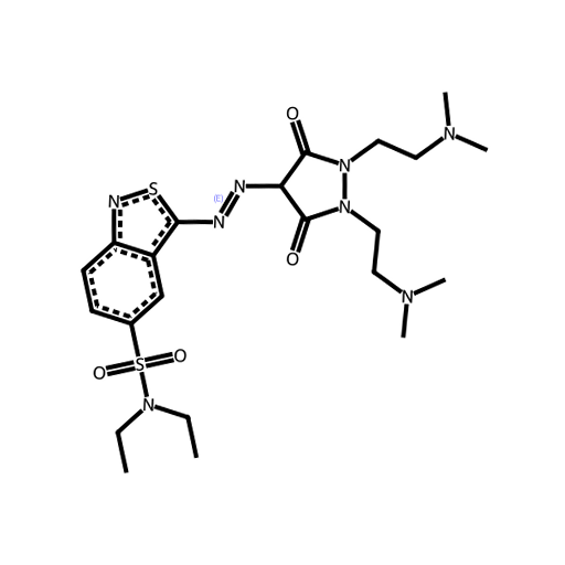 CCN(CC)S(=O)(=O)c1ccc2nsc(/N=N/C3C(=O)N(CCN(C)C)N(CCN(C)C)C3=O)c2c1